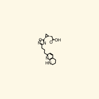 O=C(O)C[C@@H]1C[C@@H]1c1nc(CCCc2ccc3c(n2)NCCC3)no1